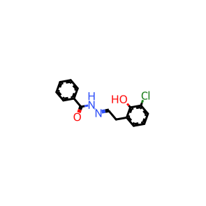 O=C(NN=CCc1cccc(Cl)c1O)c1ccccc1